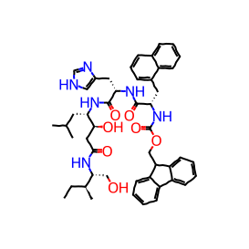 CC[C@H](C)[C@@H](CO)NC(=O)C[C@H](O)[C@H](CC(C)C)NC(=O)[C@H](Cc1c[nH]cn1)NC(=O)[C@H](Cc1cccc2ccccc12)NC(=O)OCC1c2ccccc2-c2ccccc21